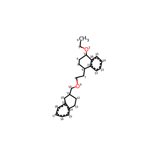 CCOC1CCC(CCOCC2CCc3ccccc3C2)c2ccccc21